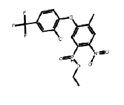 CCO[PH](=O)c1cc(Oc2ccc(C(F)(F)F)cc2Cl)c(C)cc1[N+](=O)[O-]